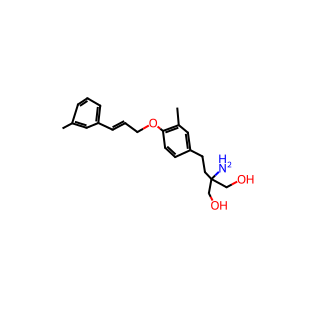 Cc1cccc(/C=C/COc2ccc(CCC(N)(CO)CO)cc2C)c1